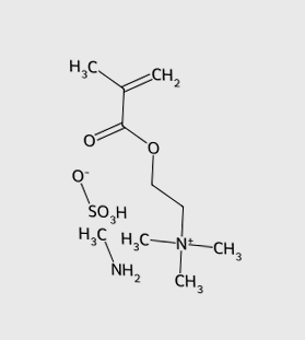 C=C(C)C(=O)OCC[N+](C)(C)C.CN.O=S(=O)([O-])O